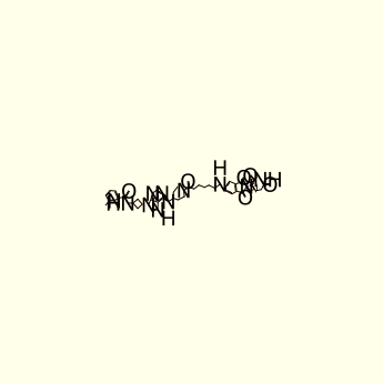 Cc1cccc(C(=O)NC2CC(n3cnc4c(NC5CCN(C(=O)CCCCCNc6ccc7c(c6)C(=O)N([C@H]6CCC(=O)NC6=O)C7=O)CC5)ncnc43)C2)n1